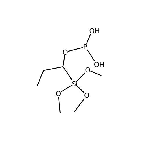 CCC(OP(O)O)[Si](OC)(OC)OC